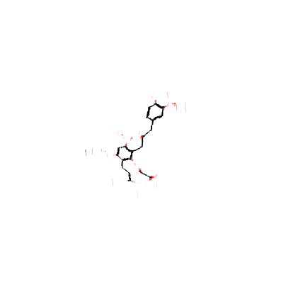 COc1cc(CC(=O)Cc2c(OC)cc(OC)c(CCC(C)C)c2OCC(=O)O)ccc1O